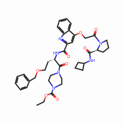 CCOC(=O)N1CCN(C(=O)[C@H](CCOCc2ccccc2)NC(=O)c2cc(OCC(=O)N3CCC[C@H]3C(=O)NC3CCC3)c3ccccc3n2)CC1